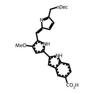 CCCCCCCCCCCC1=NC(=Cc2[nH]c(-c3cc4cc(C(=O)O)ccc4[nH]3)cc2OC)C=C1